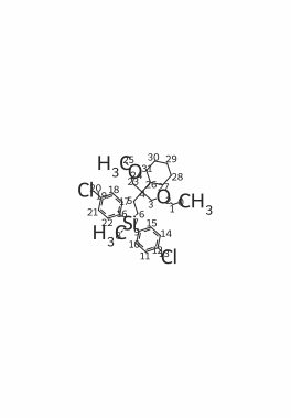 CCOCC(CC[Si](C)(c1ccc(Cl)cc1)c1ccc(Cl)cc1)(COC)C1CCCCC1